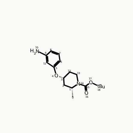 C[C@@H]1C[C@H](Oc2cccc(N)c2)CCN1C(=O)OC(C)(C)C